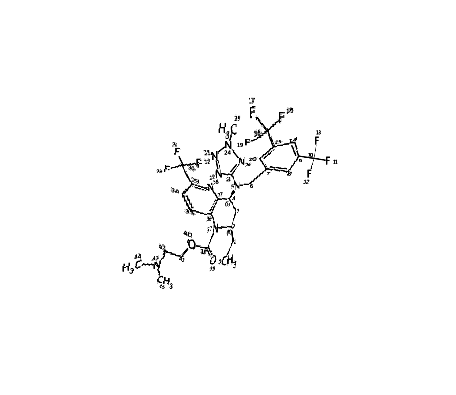 CC[C@@H]1C[C@H](N(Cc2cc(C(F)(F)F)cc(C(F)(F)F)c2)c2nnn(C)n2)c2nc(C(F)(F)F)ccc2N1C(=O)OCCN(C)C